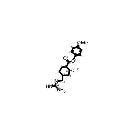 COc1ccc(OC(=O)C2CCC(CNC(=N)N)CC2)cc1.Cl